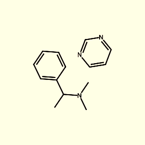 CC(c1ccccc1)N(C)C.c1cncnc1